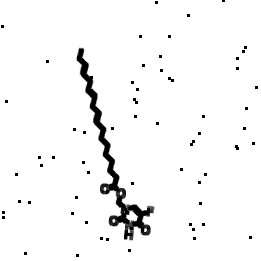 CCC=CCC=CCC=CCCCCCCCC(=O)OCn1cc(F)c(=O)[nH]c1=O